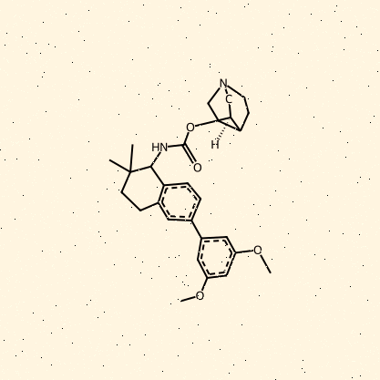 COc1cc(OC)cc(-c2ccc3c(c2)CCC(C)(C)C3NC(=O)O[C@H]2CN3CCC2CC3)c1